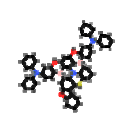 c1ccc(N(c2ccccc2)c2ccc3c(c2)Oc2cc4c5c6c2B3c2cccc3c2N6c2c(cc6oc7ccccc7c6c2S3)B5c2ccc(N(c3ccccc3)c3ccccc3)cc2O4)cc1